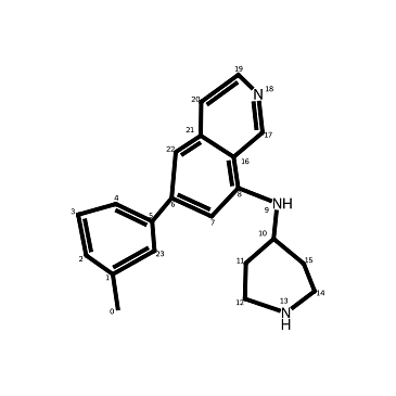 Cc1cccc(-c2cc(NC3CCNCC3)c3cnccc3c2)c1